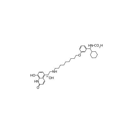 O=C(O)NC(c1cccc(OCCCCCCCCCNC[C@H](O)c2ccc(O)c3[nH]c(=O)ccc23)c1)C1CCCCC1